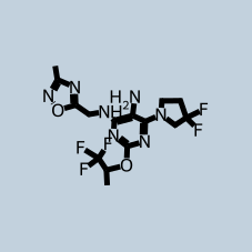 Cc1noc(CNc2nc(OC(C)C(F)(F)F)nc(N3CCC(F)(F)C3)c2N)n1